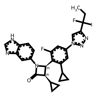 CCC(F)(I)c1cn(-c2cc(F)c([C@H]3[C@@H](C4CC4)C(=O)N3c3ccc4[nH]cnc4c3)c(C3CC3)c2)nn1